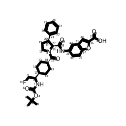 CC(C)(C)OC(=O)NC(CF)[C@H]1CC[C@H](C(=O)N2CC[C@@H](c3ccccc3)[C@H]2C(=O)Nc2ccc3oc(C(=O)O)cc3c2)CC1